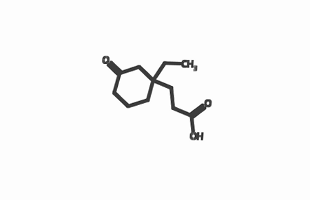 CCC1(CCC(=O)O)CCCC(=O)C1